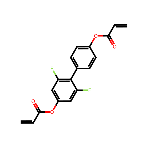 C=CC(=O)Oc1ccc(-c2c(F)cc(OC(=O)C=C)cc2F)cc1